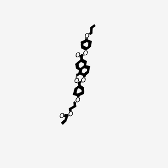 C=CC(=O)OCCCOc1ccc(C(=O)Oc2ccc3cc(C(=O)Oc4ccc(OCCC)cc4)ccc3c2I)cc1